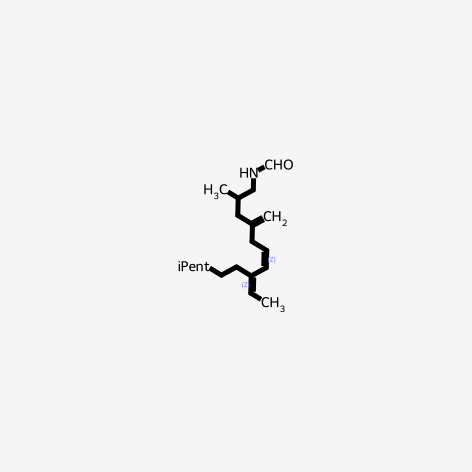 C=C(C/C=C\C(=C/C)CCC(C)CCC)CC(C)CNC=O